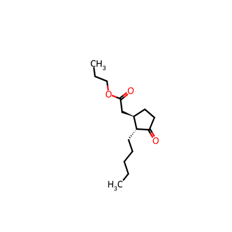 CCCCC[C@H]1C(=O)CC[C@@H]1CC(=O)OCCC